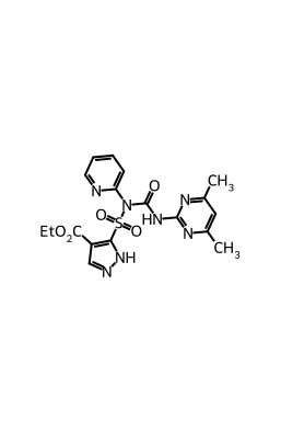 CCOC(=O)c1cn[nH]c1S(=O)(=O)N(C(=O)Nc1nc(C)cc(C)n1)c1ccccn1